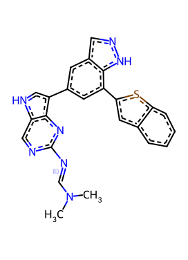 CN(C)/C=N/c1ncc2[nH]cc(-c3cc(-c4cc5ccccc5s4)c4[nH]ncc4c3)c2n1